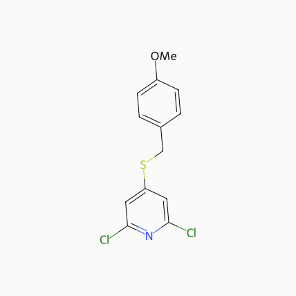 COc1ccc(CSc2cc(Cl)nc(Cl)c2)cc1